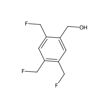 OCc1cc(CF)c(CF)cc1CF